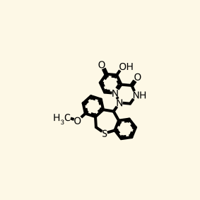 COc1cccc2c1CSc1ccccc1C2N1CNC(=O)c2c(O)c(=O)ccn21